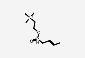 CC=CC[PH](=O)OCC[N+](C)(C)C